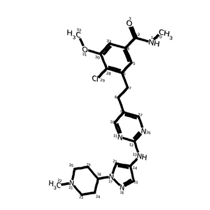 CNC(=O)c1cc(CCc2cnc(Nc3cnn(C4CCN(C)CC4)c3)nc2)c(Cl)c(OC)c1